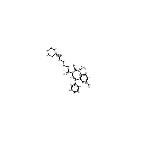 CN1C(=O)C(C(=O)OCCCNC2CCCCC2)N=C(c2ccccc2)c2cc(Cl)ccc21